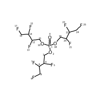 O=P(OCC(F)C(F)CF)(OCC(F)C(F)CF)OCC(F)C(F)CF